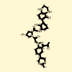 CC(=O)c1nn(CC(=O)N2C[C@H](F)C[C@H]2C(=O)Nc2cccc(-c3ccc4c(c3Cl)NCCN4)c2F)c2ccc(-c3cnc(C)nc3)cc12